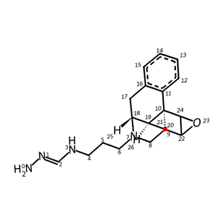 NN=CNCCCN1CC[C@@]23c4ccccc4C[C@@H]1[C@@H]2CCC1OC13